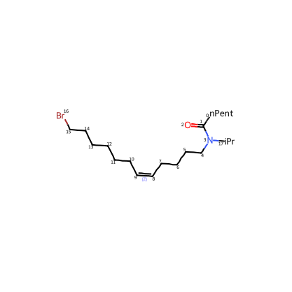 CCCCCC(=O)N(CCCC/C=C\CCCCCCBr)C(C)C